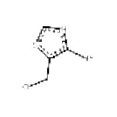 CC(C)c1ncsc1CCl